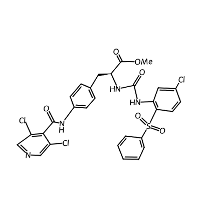 COC(=O)[C@H](Cc1ccc(NC(=O)c2c(Cl)cncc2Cl)cc1)NC(=O)Nc1cc(Cl)ccc1S(=O)(=O)c1ccccc1